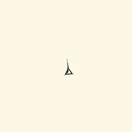 FC1=CC1